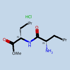 COC(=O)[C@H](CC(C)C)NC(=O)[C@@H](N)CC(C)C.Cl